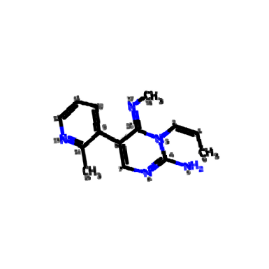 C/C=C\n1c(N)ncc(-c2cccnc2C)/c1=N/C